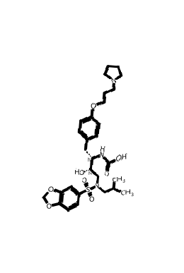 CC(C)CN(C[C@H](O)[C@H](Cc1ccc(OCCCN2CCCC2)cc1)NC(=O)O)S(=O)(=O)c1ccc2c(c1)OCO2